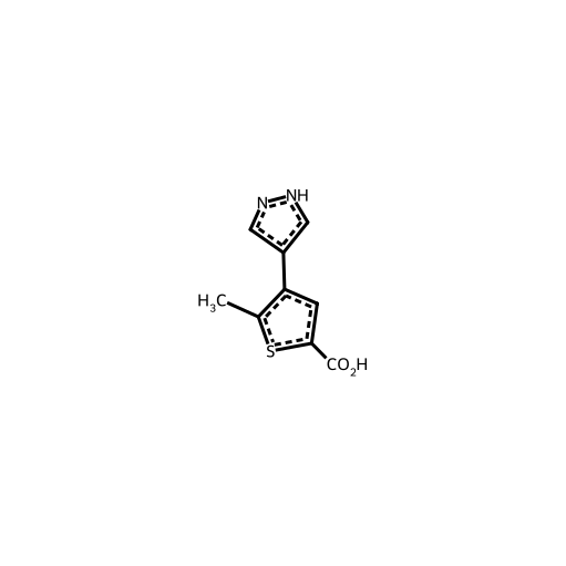 Cc1sc(C(=O)O)cc1-c1cn[nH]c1